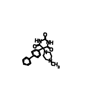 CN1CCN(C2(c3ccc(-c4ccccc4)cc3)C(=O)NC(=O)NC2=O)CC1